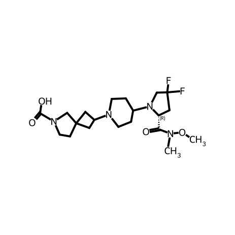 CON(C)C(=O)[C@H]1CC(F)(F)CN1C1CCN(C2CC3(CCN(C(=O)O)C3)C2)CC1